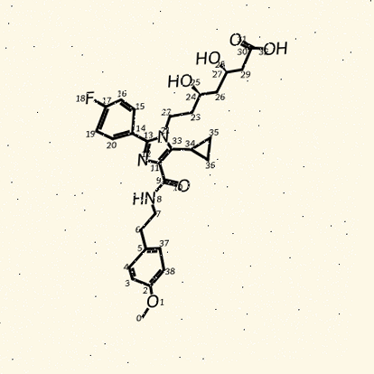 COc1ccc(CCNC(=O)c2nc(-c3ccc(F)cc3)n(CC[C@@H](O)C[C@@H](O)CC(=O)O)c2C2CC2)cc1